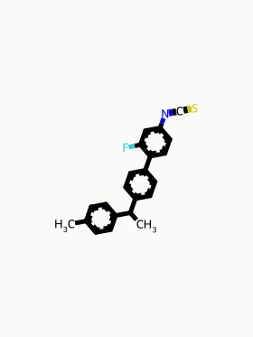 Cc1ccc(C(C)c2ccc(-c3ccc(N=C=S)cc3F)cc2)cc1